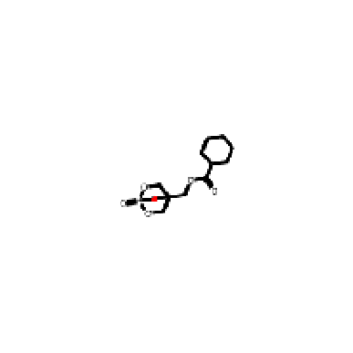 O=C(OCC12COP(=O)(OC1)OC2)C1CCCCC1